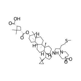 CSCCC(CN[C@]12CC[C@@H](C3(C)CC3)[C@@H]1[C@H]1CC[C@@H]3[C@@]4(C)CC[C@H](OC(=O)[C@H]5C[C@@H](C(=O)O)C5(C)C)C(C)(C)[C@@H]4CC[C@@]3(C)[C@]1(C)CC2)N1CCS(=O)(=O)CC1